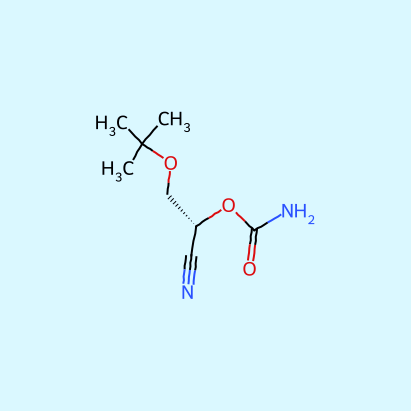 CC(C)(C)OC[C@@H](C#N)OC(N)=O